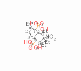 CCC1=c2c(P(=O)(O)O)c(CC)ccc2=C(P(=O)(O)O)C(CC)C1(CC)[N+](=O)[O-]